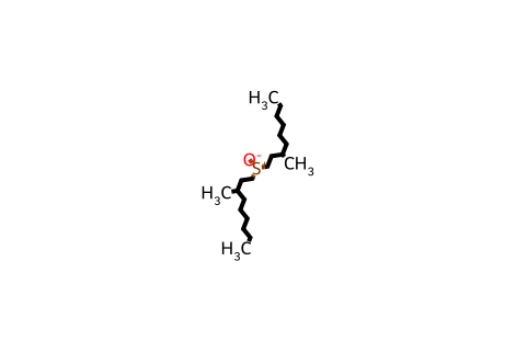 CCCCCCC(C)CC[S+]([O-])CCC(C)CCCCCC